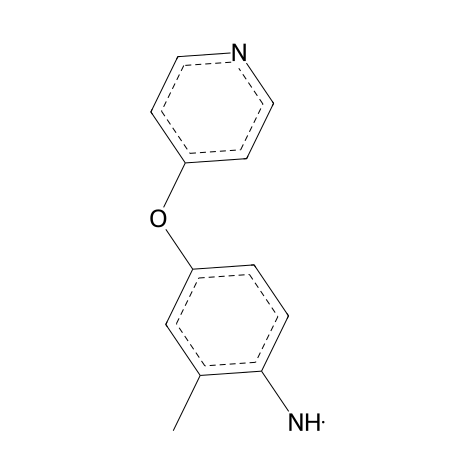 Cc1cc(Oc2ccncc2)ccc1[NH]